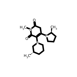 C[C@H]1CCCP(C2=C(P3CCC[C@@H]3C)CC(=O)N(C)C2=O)C1